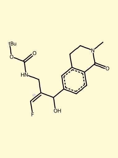 CN1CCc2cc(C(O)/C(=C\F)CNC(=O)OC(C)(C)C)ccc2C1=O